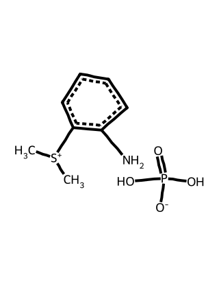 C[S+](C)c1ccccc1N.O=P([O-])(O)O